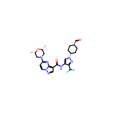 C[C@@H]1CN(c2ccn3ncc(C(=O)Nc4cn([C@H]5CC[C@H](C=O)CC5)nc4C(F)F)c3n2)C[C@H](C)O1